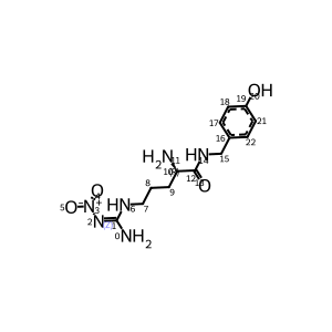 N/C(=N/[N+](=O)[O-])NCCC[C@@H](N)C(=O)NCc1ccc(O)cc1